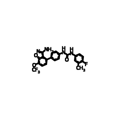 Cc1cc(NC(=O)Nc2ccc(-c3ccc(OC(F)(F)F)c4onc(N)c34)cc2)ccc1F